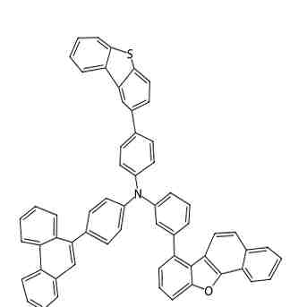 c1cc(-c2cccc3oc4c5ccccc5ccc4c23)cc(N(c2ccc(-c3ccc4sc5ccccc5c4c3)cc2)c2ccc(-c3cc4ccccc4c4ccccc34)cc2)c1